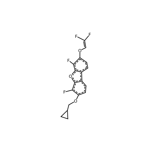 FC(F)=COc1ccc2c(oc3c(F)c(OCC4CC4)ccc32)c1F